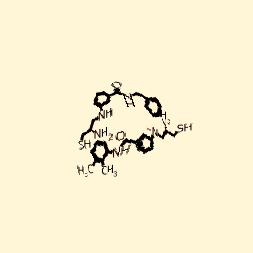 Cc1cccc(NC(=O)c2cccc(NC[C@H](N)CS)c2)c1C.N[C@@H](CS)CNc1cccc(C(=O)NCc2ccccc2)c1